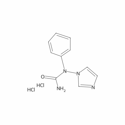 Cl.Cl.NC(=O)N(c1ccccc1)n1ccnc1